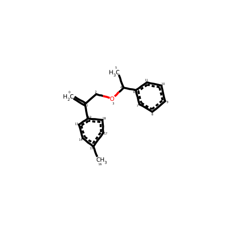 C=C(COC(C)c1ccccc1)c1ccc(C)cc1